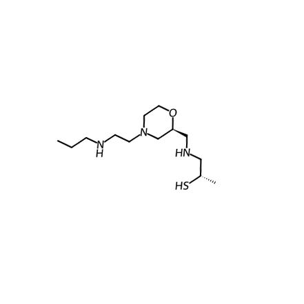 CCCNCCN1CCO[C@@H](CNC[C@H](C)S)C1